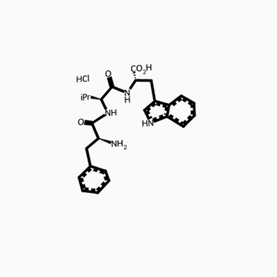 CC(C)[C@H](NC(=O)[C@@H](N)Cc1ccccc1)C(=O)N[C@@H](Cc1c[nH]c2ccccc12)C(=O)O.Cl